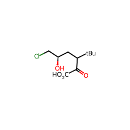 CC(C)(C)C(C[C@@H](O)CCl)C(=O)C(=O)O